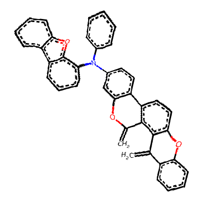 C=C1c2ccccc2Oc2ccc3c(c21)C(=C)Oc1cc(N(c2ccccc2)c2cccc4c2oc2ccccc24)ccc1-3